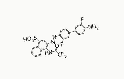 Nc1ccc(-c2ccc(/N=N/c3cc(S(=O)(=O)O)c4ccccc4c3NC(=O)C(F)(F)F)c(F)c2)cc1F